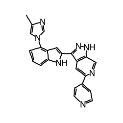 Cc1cn(-c2cccc3[nH]c(-c4n[nH]c5cnc(-c6ccncc6)cc45)cc23)cn1